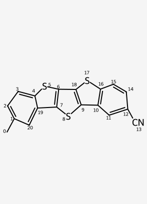 Cc1ccc2sc3c(sc4c5cc(C#N)ccc5sc43)c2c1